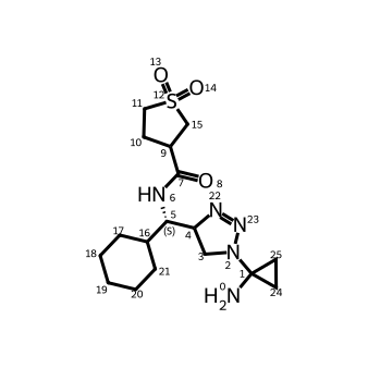 NC1(N2CC([C@@H](NC(=O)C3CCS(=O)(=O)C3)C3CCCCC3)N=N2)CC1